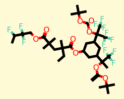 C=C(OC(C)(C)C)OC(C)(C1CC(OC(=O)C(C)(CC)CC(C)(C)C(=O)OCC(F)(F)C(C)F)CC(C(OC(=O)OC(C)(C)C)(C(F)(F)F)C(F)(F)F)C1)C(F)(F)F